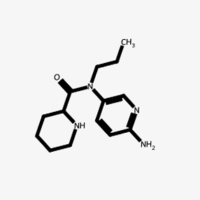 CCCN(C(=O)C1CCCCN1)c1ccc(N)nc1